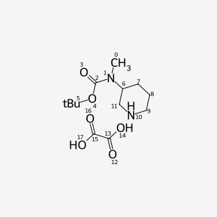 CN(C(=O)OC(C)(C)C)C1CCCNC1.O=C(O)C(=O)O